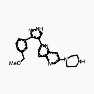 COCc1cccc(-c2n[nH]cc2-c2ccc3ncc(N4CCNCC4)cc3n2)c1